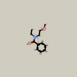 CCN(CCOC)C(=O)c1ccccc1